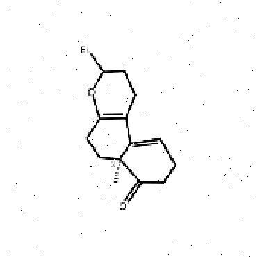 CCC1CCC2=C(CC[C@]3(C)C(=O)CCC=C23)O1